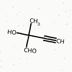 C#CC(C)(O)C=O